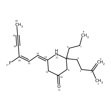 C=C(C)CCC1(CCC)CC(=O)C/C(=C\C=C(\F)C#CC)N1